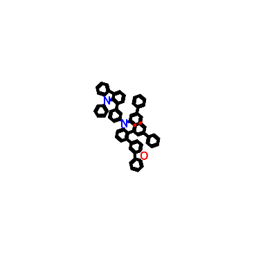 c1ccc(-c2cccc(-c3c(-c4ccc5oc6ccccc6c5c4)cccc3N(c3cccc(-c4ccccc4)c3)c3cccc(-c4cccc5c6ccccc6n(-c6ccccc6)c45)c3)c2)cc1